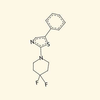 FC1(F)CCN(c2ncc(-c3ccccc3)s2)CC1